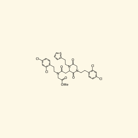 COC(=O)CN(CCc1ccc(Cl)cc1Cl)C(=O)CC1C(=O)N(CCc2ccc(Cl)cc2Cl)CC(=O)N1CCc1cccs1